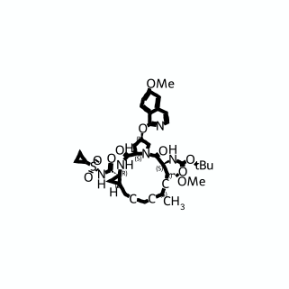 COC[C@@H]1C[C@@H](C)CCCC[C@H]2C[C@@]2(C(=O)NS(=O)(=O)C2CC2)NC(=O)[C@@H]2C[C@@H](Oc3nccc4cc(OC)ccc34)CN2C(=O)[C@H]1NC(=O)OC(C)(C)C